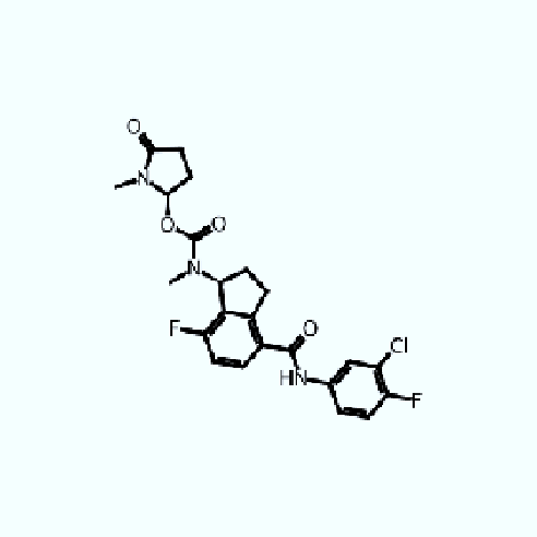 CN1C(=O)CC[C@H]1OC(=O)N(C)[C@H]1CCc2c(C(=O)Nc3ccc(F)c(Cl)c3)ccc(F)c21